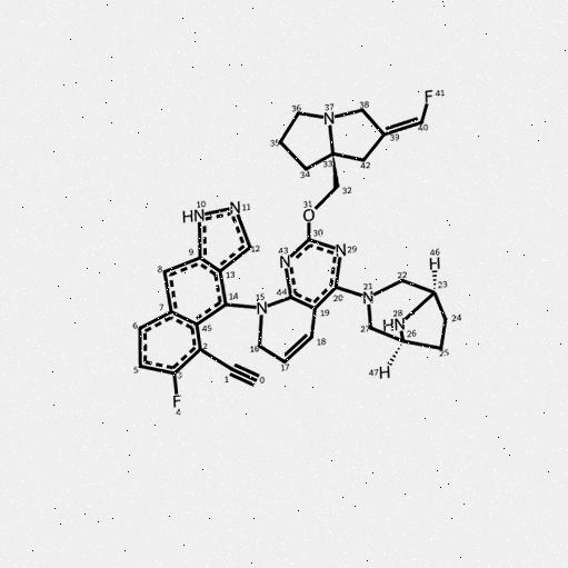 C#Cc1c(F)ccc2cc3[nH]ncc3c(N3CC=Cc4c(N5C[C@H]6CC[C@@H](C5)N6)nc(OC[C@@]56CCCN5C/C(=C\F)C6)nc43)c12